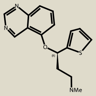 CNCC[C@@H](Oc1cccc2ncncc12)c1cccs1